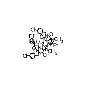 CCc1nc2c(c(=O)n(Cc3ccc(Cl)cc3)c(=O)n2C(C(=O)O)N2c3c(c(=O)n(Cc4ccc(Cl)cc4)c(=O)n3CC(=O)N3CCC(F)(F)C3)N(C)C2CC)n1C